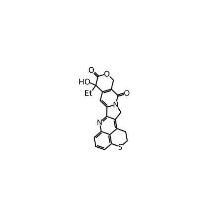 CCC1(O)C(=O)OCc2c1cc1n(c2=O)Cc2c-1nc1cccc3c1c2CCS3